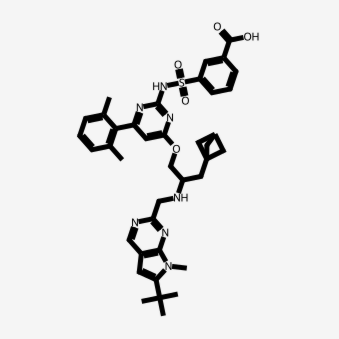 Cc1cccc(C)c1-c1cc(OCC(CC23CC(C2)C3)NCc2ncc3cc(C(C)(C)C)n(C)c3n2)nc(NS(=O)(=O)c2cccc(C(=O)O)c2)n1